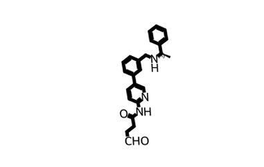 C[C@@H](NCc1cccc(-c2ccc(NC(=O)CCC=O)nc2)c1)c1ccccc1